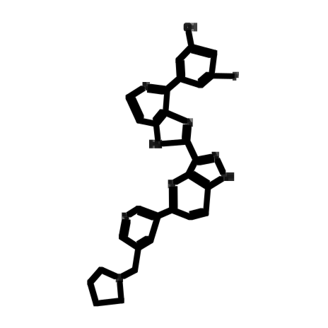 Oc1cc(F)cc(-c2nccc3[nH]c(-c4n[nH]c5ccc(-c6cncc(CN7CCCC7)c6)nc45)nc23)c1